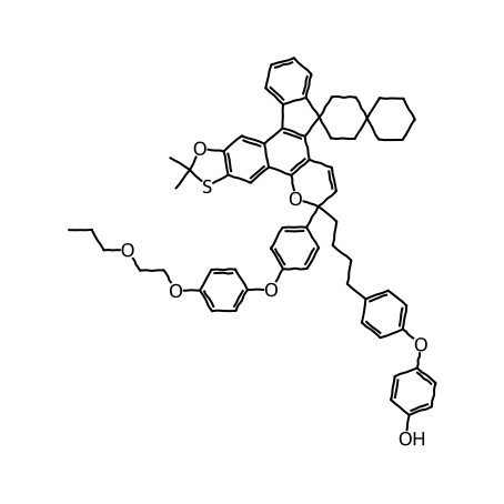 CCCOCCOc1ccc(Oc2ccc(C3(CCCCc4ccc(Oc5ccc(O)cc5)cc4)C=Cc4c5c(c6cc7c(cc6c4O3)SC(C)(C)O7)-c3ccccc3C53CCC4(CCCCC4)CC3)cc2)cc1